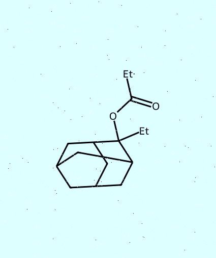 C[CH]C(=O)OC1(CC)C2CC3CC(C2)CC1C3